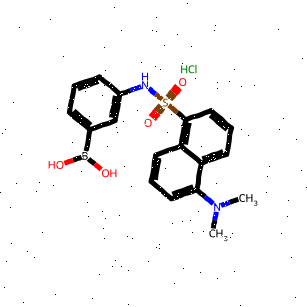 CN(C)c1cccc2c(S(=O)(=O)Nc3cccc(B(O)O)c3)cccc12.Cl